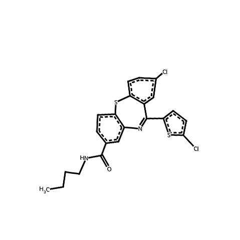 CCCCNC(=O)c1ccc2c(c1)N=C(c1ccc(Cl)s1)c1cc(Cl)ccc1S2